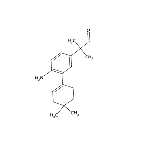 CC1(C)CC=C(c2cc(C(C)(C)C=O)ccc2N)CC1